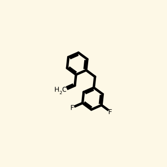 C=Cc1ccccc1Cc1cc(F)cc(F)c1